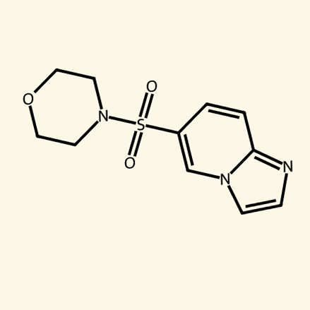 O=S(=O)(c1ccc2nccn2c1)N1CCOCC1